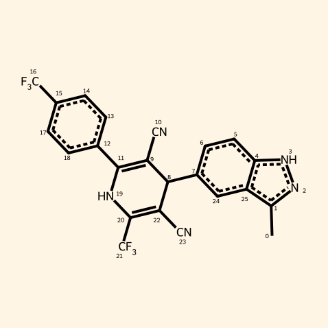 Cc1n[nH]c2ccc(C3C(C#N)=C(c4ccc(C(F)(F)F)cc4)NC(C(F)(F)F)=C3C#N)cc12